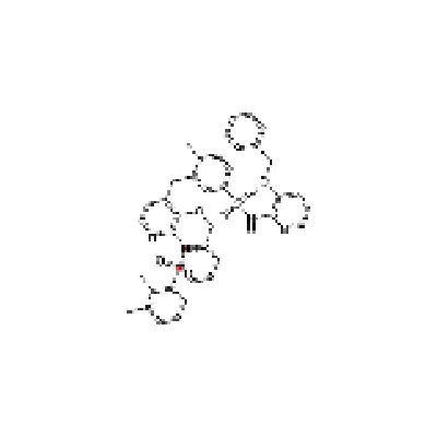 Cc1ccc(S(=O)(=O)Nc2ncccc2OCc2ccccc2)cc1Cc1ccnc(NS(=O)(=O)c2cccc(C)c2C)c1OCc1ccccc1